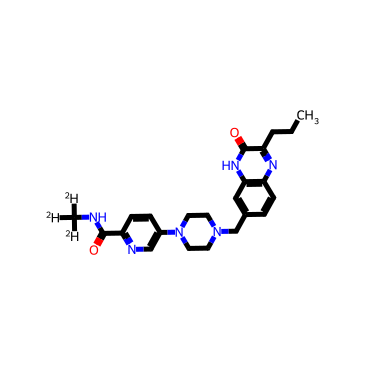 [2H]C([2H])([2H])NC(=O)c1ccc(N2CCN(Cc3ccc4nc(CCC)c(=O)[nH]c4c3)CC2)cn1